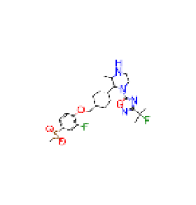 CC1NCCN(c2nc(C(C)(C)F)no2)[C@H]1[C@H]1CC[C@H](COc2ccc(S(C)(=O)=O)cc2F)CC1